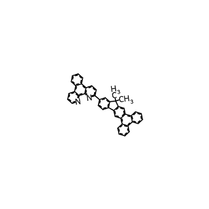 CC1(C)c2cc(-c3ccc4c5ccccc5c5cccnc5c4n3)ccc2-c2cc3c4ccccc4c4ccccc4c3cc21